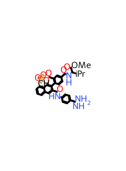 COC(=O)C(NC(=O)c1ccc(-c2cc3ccccc3cc2C(=O)Nc2ccc(C(=N)N)cc2)c(C(=O)OS(C)(=O)=O)c1)C(C)C